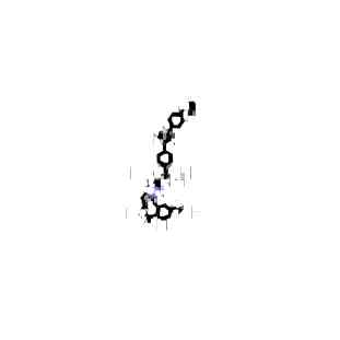 COc1ccc(C(C)C)c(N2C(=O)CS/C2=N\C(=O)NC(C)(C)c2ccc(-c3ncn(-c4ccc(OC(F)(F)F)cc4)n3)cc2)c1